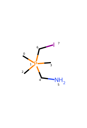 CP(C)(C)(CN)CI